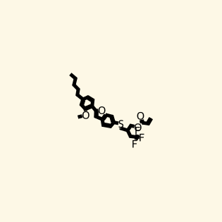 C=CC(=O)OCC(CSc1ccc2cc(-c3ccc(CCCCC)cc3OC)oc2c1)CC(F)(F)F